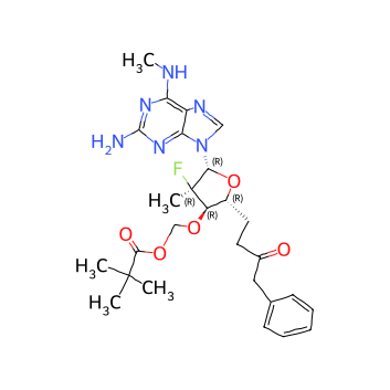 CNc1nc(N)nc2c1ncn2[C@@H]1O[C@H](CCC(=O)Cc2ccccc2)[C@@H](OCOC(=O)C(C)(C)C)[C@@]1(C)F